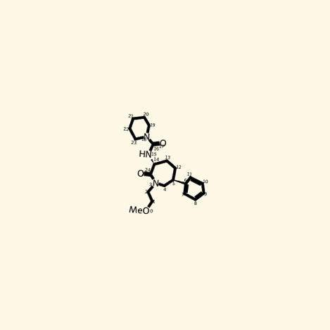 COCCN1C[C@H](c2ccccc2)CC[C@@H](NC(=O)N2CCCCC2)C1=O